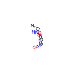 C[C@@H]1CN(c2cccc(-c3ccc4cnc(CC(=O)Nc5cccc(C(C)(C)C#N)c5)cc4n3)n2)C[C@H](C)O1